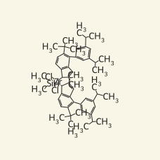 CC1=Cc2c(ccc(C(C)(C)C)c2-c2cc(C(C)C)cc(C(C)C)c2)[CH]1[Zr]([Cl])([Cl])([CH]1C(C)=Cc2c1ccc(C(C)(C)C)c2-c1cc(C(C)C)cc(C(C)C)c1)[SiH](C)C